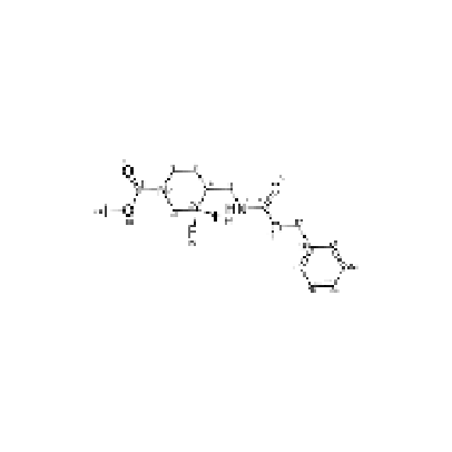 O=C(NCC1CCN(C(=O)OI)CC1(F)F)OCc1ccccc1